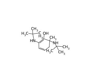 CC(C)(C)NC1=C(O)C(C)(NC(C)(C)C)CC=C1